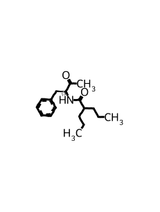 CCCC(CCC)C(=O)N[C@@H](Cc1ccccc1)C(C)=O